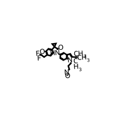 CC(C)(C)c1cc2cc(NC(=O)C3(c4ccc5c(c4)OC(F)(F)C5)CC3)ccc2n1CCCN=O